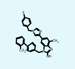 CCCc1nc2c(C)cc(-c3cn(Cc4ccc(F)cc4)cn3)cc2n1Cc1ccc(-c2ccccc2C(=O)O)cc1